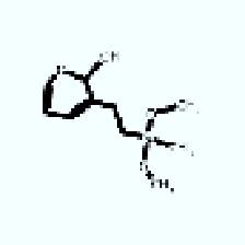 CO[Si](C)(CCC1=CC=COC1O)OC